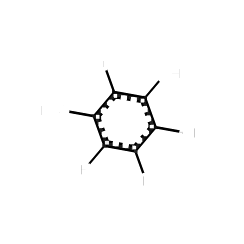 Cc1c(O)c(F)c(F)c(C)c1C(C)C